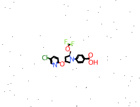 O=C(O)c1ccc(N2C[C@@H](Oc3ccc(Cl)cn3)C[C@H]2COC(F)F)cc1